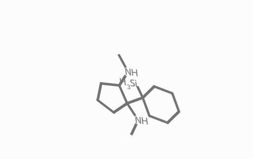 CNC1CCCC1(NC)C1([SiH3])CCCCC1